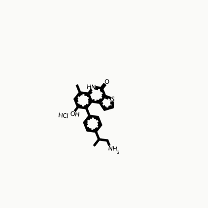 Cc1cc(O)c(-c2ccc(C(C)CN)cc2)c2c1[nH]c(=O)c1sccc12.Cl